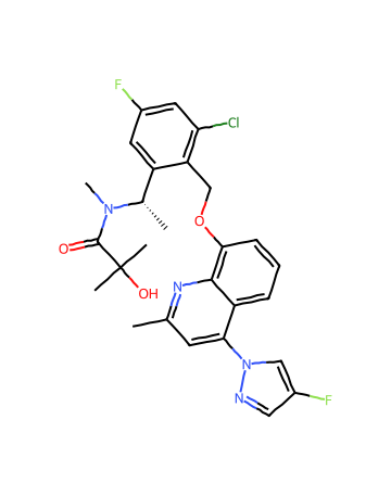 Cc1cc(-n2cc(F)cn2)c2cccc(OCc3c(Cl)cc(F)cc3[C@H](C)N(C)C(=O)C(C)(C)O)c2n1